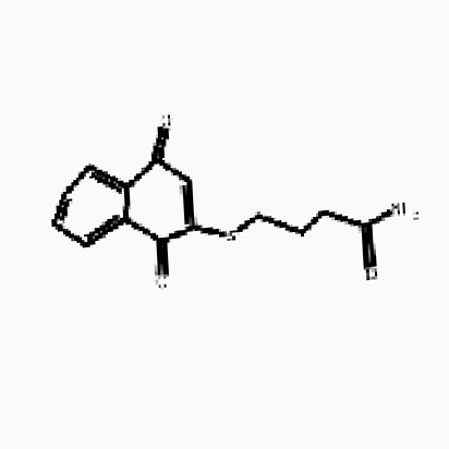 NC(=O)CCCSC1=CC(=O)c2ccccc2C1=O